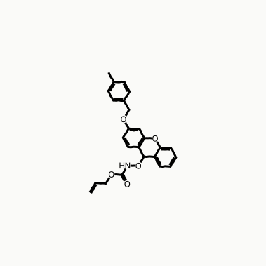 C=CCOC(=O)NOC1c2ccccc2Oc2cc(OCc3ccc(C)cc3)ccc21